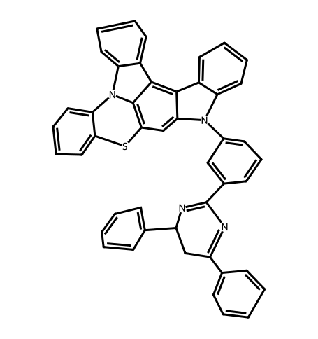 c1ccc(C2=NC(c3cccc(-n4c5ccccc5c5c6c7ccccc7n7c6c(cc54)Sc4ccccc4-7)c3)=NC(c3ccccc3)C2)cc1